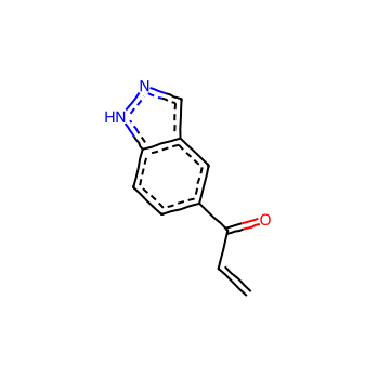 C=CC(=O)c1ccc2[nH]ncc2c1